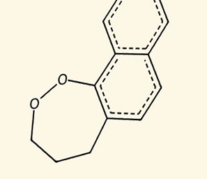 c1ccc2c3c(ccc2c1)CCCOO3